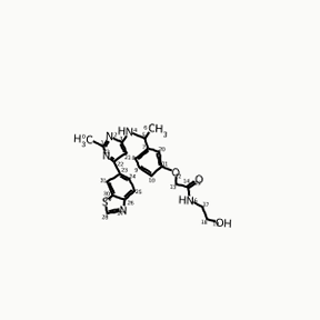 Cc1nc(NC(C)c2cccc(OCC(=O)NCCO)c2)cc(-c2ccc3ncsc3c2)n1